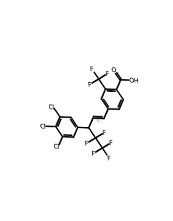 O=C(O)c1ccc(/C=C/C(c2cc(Cl)c(Cl)c(Cl)c2)C(F)(F)C(F)(F)F)cc1C(F)(F)F